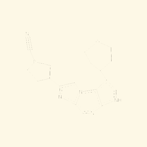 N#CB1CCC(c2cn3c(cnc4[nH]cc(C5CCOCC5)c43)n2)C1